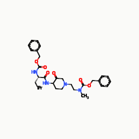 CC(C)C[C@H](NC(=O)OCc1ccccc1)C(=O)NC1CCN(CCN(C)C(=O)OCc2ccccc2)CC1=O